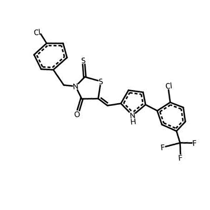 O=C1C(=Cc2ccc(-c3cc(C(F)(F)F)ccc3Cl)[nH]2)SC(=S)N1Cc1ccc(Cl)cc1